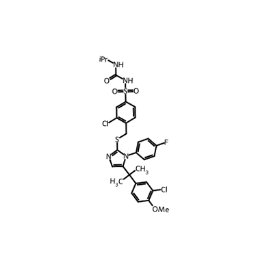 COc1ccc(C(C)(C)c2cnc(SCc3ccc(S(=O)(=O)NC(=O)NC(C)C)cc3Cl)n2-c2ccc(F)cc2)cc1Cl